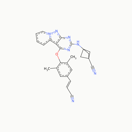 Cc1cc(/C=C/C#N)cc(C)c1Oc1nc(NC23CC(C#N)(C2)C3)nc2nn3ccccc3c12